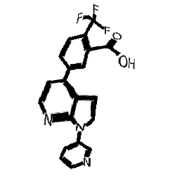 O=C(O)c1cc(-c2ccnc3c2ccn3-c2cccnc2)ccc1C(F)(F)F